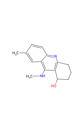 CNc1c2c(nc3ccc(C)cc13)CCCC2O